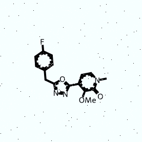 COc1c(-c2nnc(Cc3ccc(F)cc3)o2)ccn(C)c1=O